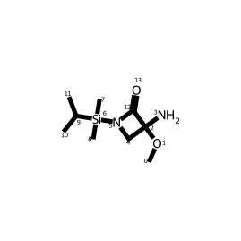 COC1(N)CN([Si](C)(C)C(C)C)C1=O